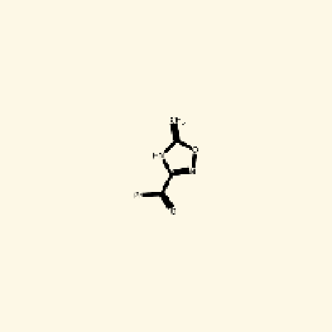 C=C1NC(C(=O)C(C)C)=NO1